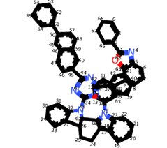 C1=CC(c2nc3cccc(-c4cccc(-n5c6c(c7ccccc75)CCC5c7ccccc7N(c7nc(-c8ccccc8)nc(-c8ccc9cc(-c%10ccccc%10)ccc9c8)n7)C65)c4)c3o2)=CCC1